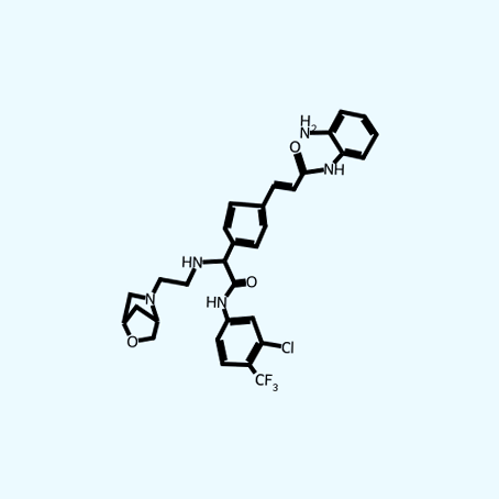 Nc1ccccc1NC(=O)C=Cc1ccc(C(NCCN2CC3CC2CO3)C(=O)Nc2ccc(C(F)(F)F)c(Cl)c2)cc1